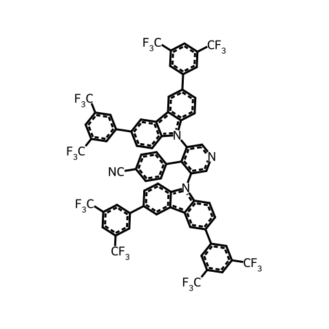 N#Cc1ccc(-c2c(-n3c4ccc(-c5cc(C(F)(F)F)cc(C(F)(F)F)c5)cc4c4cc(-c5cc(C(F)(F)F)cc(C(F)(F)F)c5)ccc43)cncc2-n2c3ccc(-c4cc(C(F)(F)F)cc(C(F)(F)F)c4)cc3c3cc(-c4cc(C(F)(F)F)cc(C(F)(F)F)c4)ccc32)cc1